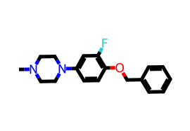 CN1CCN(c2ccc(OCc3ccccc3)c(F)c2)CC1